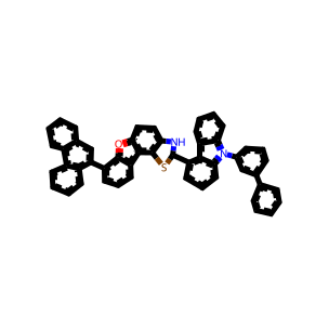 c1ccc(-c2cccc(-n3c4ccccc4c4c(C5Nc6ccc7oc8c(-c9cc%10ccccc%10c%10ccccc9%10)cccc8c7c6S5)cccc43)c2)cc1